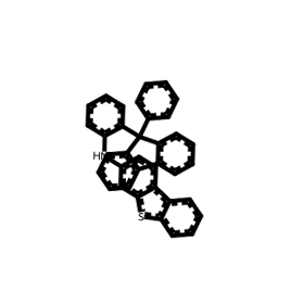 c1ccc(C2(c3ccccc3Nc3ccc4c(c3)sc3ccccc34)c3ccccc3-c3ccccc32)cc1